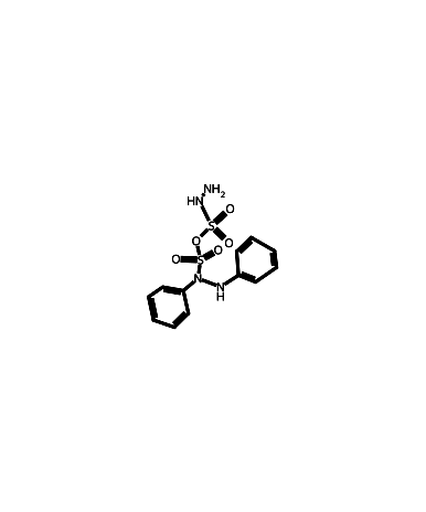 NNS(=O)(=O)OS(=O)(=O)N(Nc1ccccc1)c1ccccc1